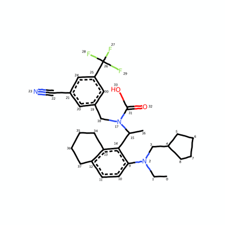 CCN(CC1CCCC1)c1ccc2c(c1C(C)N(Cc1cc(C#N)cc(C(F)(F)F)c1)C(=O)O)CCCC2